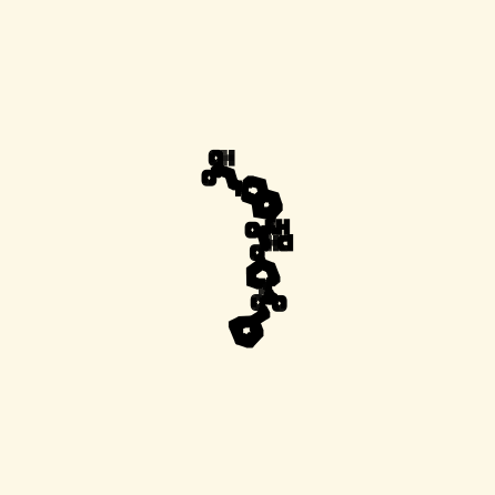 Cl.O=C(O)CCN1CCc2ccc(NC(=O)COC3CCN(C(=O)OCc4ccccc4)CC3)cc2C1